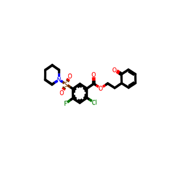 O=C(OCCC1C=CC=CC1=O)c1cc(S(=O)(=O)N2CCCCC2)c(F)cc1Cl